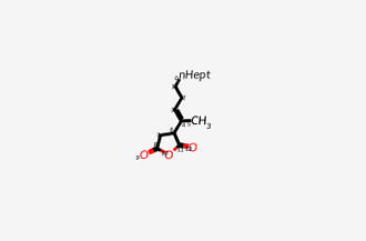 CCCCCCCCCC=C(C)C1CC(=O)OC1=O